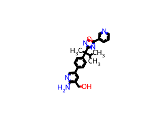 CC(C)C(C)(c1ccc(-c2cnc(N)c(CO)c2)cc1)c1noc(-c2cccnc2)n1